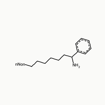 CCCCCCCCCCCCCCCC(N)c1ccccc1